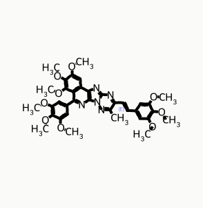 COc1cc(/C=C/c2nc3nc4c5cc(OC)c(OC)c(OC)c5c(-c5cc(OC)c(OC)c(OC)c5)nc4n3nc2C)cc(OC)c1OC